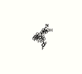 C[C@H]1CO[C@@H]2Cn3cc(C(=O)NCc4ccc(F)cc4F)c(=O)c(OCOC(=O)OC(CCN(C)C)C(=O)O)c3C(=O)N12